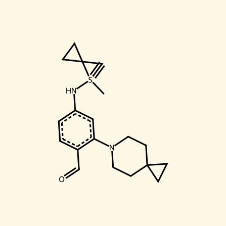 CS1(Nc2ccc(C=O)c(N3CCC4(CC3)CC4)c2)#CC12CC2